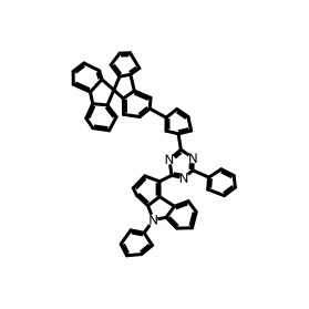 c1ccc(-c2nc(-c3cccc(-c4ccc5c(c4)-c4ccccc4C54c5ccccc5-c5ccccc54)c3)nc(-c3cccc4c3c3ccccc3n4-c3ccccc3)n2)cc1